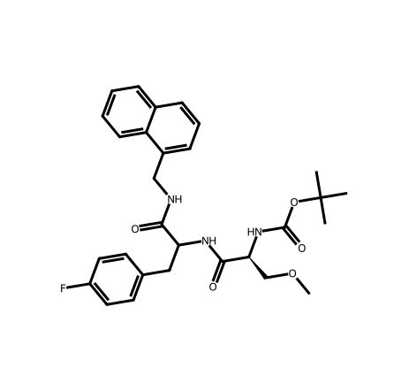 COC[C@H](NC(=O)OC(C)(C)C)C(=O)NC(Cc1ccc(F)cc1)C(=O)NCc1cccc2ccccc12